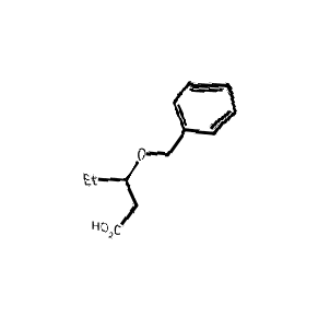 CCC(CC(=O)O)OCc1ccccc1